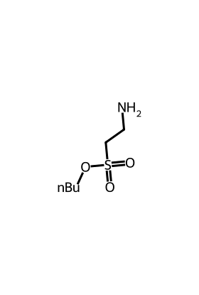 CCCCOS(=O)(=O)CCN